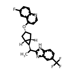 CC(c1nc2cc(C(F)(F)F)ccc2[nH]1)[C@H]1[C@@H]2C[C@H](Oc3ccnc4ccc(F)cc34)C[C@@H]21